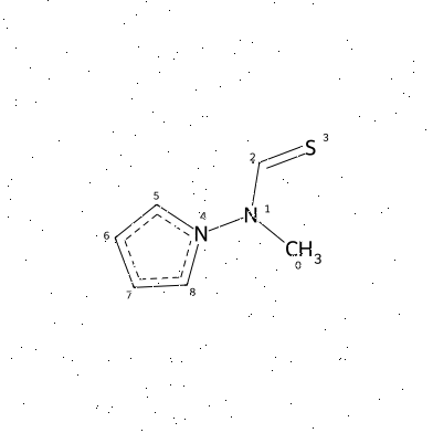 CN([C]=S)n1cccc1